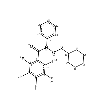 O=C(c1c(F)c(F)c(F)c(F)c1F)N(OCC1CCCCC1)c1ccccc1